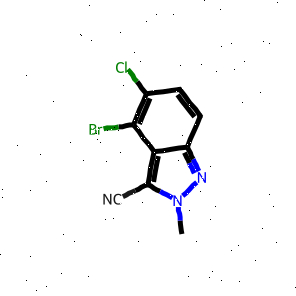 Cn1nc2ccc(Cl)c(Br)c2c1C#N